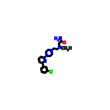 NC(=O)CN(CCN1CCN(c2cccc(-c3cccc(Cl)c3)n2)CC1)C(=O)O